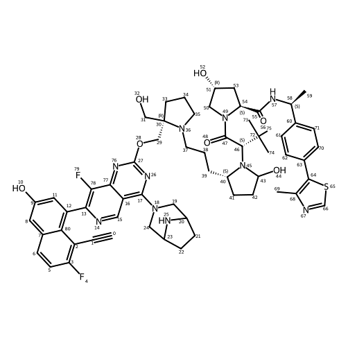 C#Cc1c(F)ccc2cc(O)cc(-c3ncc4c(N5CC6CCC(C5)N6)nc(OC[C@]5(CO)CCCN5CCC[C@H]5CCC(O)N5[C@H](C(=O)N5C[C@H](O)C[C@H]5C(=O)N[C@@H](C)c5ccc(-c6scnc6C)cc5)C(C)(C)C)nc4c3F)c12